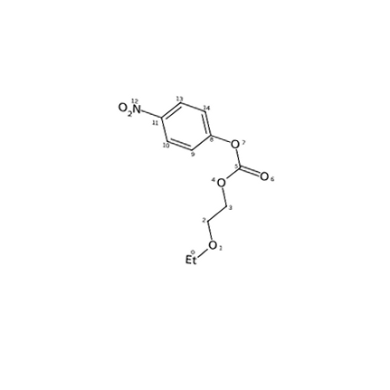 CCOCCOC(=O)Oc1ccc([N+](=O)[O-])cc1